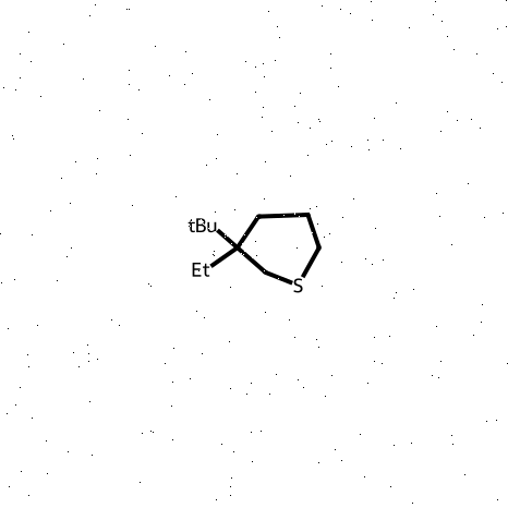 CCC1(C(C)(C)C)CCCSC1